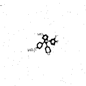 O=C(O)C1CCC(c2c(C3CCOCC3)n(-c3ccc(F)c(F)c3)c3ccc(O)cc23)CC1